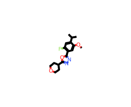 COc1cc(-c2nnc(C3CCOCC3)o2)c(F)cc1C(C)C